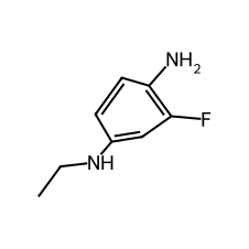 CCNc1ccc(N)c(F)c1